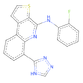 Fc1ccccc1Nc1nc2c(-c3nnc[nH]3)cccc2c2ccsc12